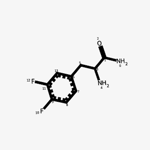 NC(=O)C(N)Cc1ccc(F)c(F)c1